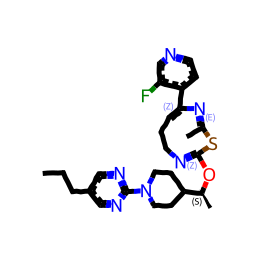 CCCc1cnc(N2CCC([C@H](C)O/C3=N/CC/C=C(c4ccncc4F)\N=C(/C)S3)CC2)nc1